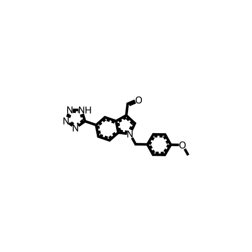 COc1ccc(Cn2cc(C=O)c3cc(-c4nnn[nH]4)ccc32)cc1